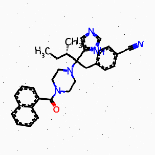 CC[C@H](C)C(Cc1ccc(C#N)cc1)(c1cnc[nH]1)N1CCN(C(=O)c2cccc3ccccc23)CC1